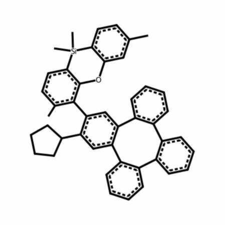 Cc1ccc2c(c1)Oc1c(ccc(C)c1-c1cc3c(cc1C1CCCC1)-c1ccccc1-c1ccccc1-c1ccccc1-3)[Si]2(C)C